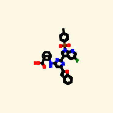 Cc1ccc(S(=O)(=O)n2cc(-c3nc(NC4C5CCC(CC5)C4C(=O)O)cc(-c4cc5ccccc5o4)n3)c3cc(F)cnc32)cc1